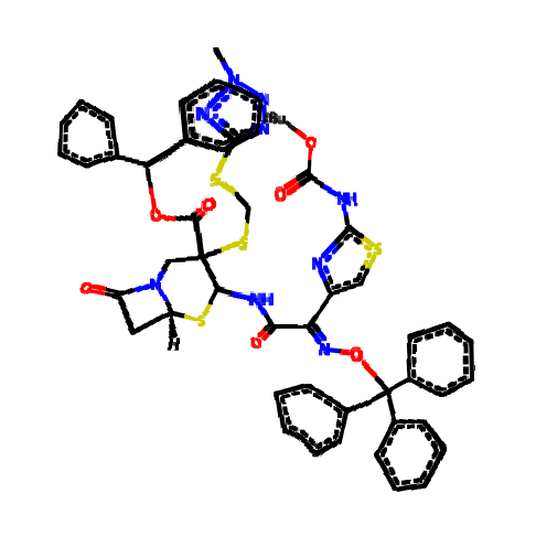 Cn1nnc(SCSC2(C(=O)OC(c3ccccc3)c3ccccc3)CN3C(=O)C[C@H]3SC2NC(=O)C(=NOC(c2ccccc2)(c2ccccc2)c2ccccc2)c2csc(NC(=O)OC(C)(C)C)n2)n1